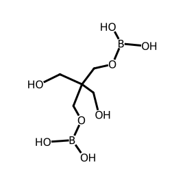 OCC(CO)(COB(O)O)COB(O)O